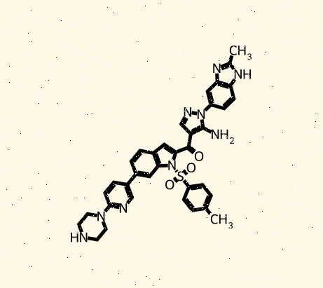 Cc1ccc(S(=O)(=O)n2c(C(=O)c3cnn(-c4ccc5[nH]c(C)nc5c4)c3N)cc3ccc(-c4ccc(N5CCNCC5)nc4)cc32)cc1